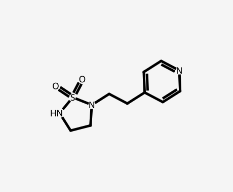 O=S1(=O)NCCN1CCc1ccncc1